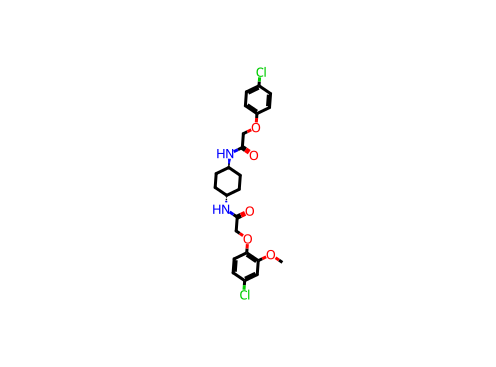 COc1cc(Cl)ccc1OCC(=O)N[C@H]1CC[C@H](NC(=O)COc2ccc(Cl)cc2)CC1